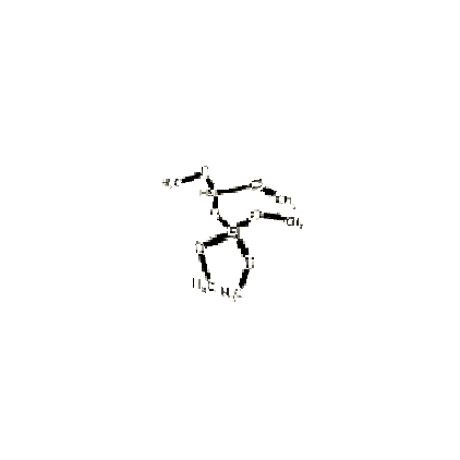 CO[SiH](OC)O[Si](OC)(OC)OC